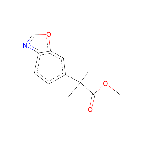 COC(=O)C(C)(C)c1ccc2ncoc2c1